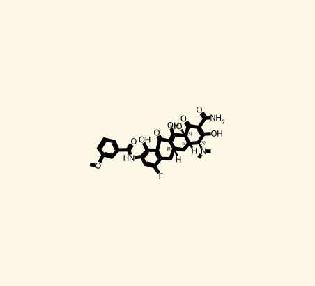 COc1cccc(C(=O)Nc2cc(F)c3c(c2O)C(=O)C2=C(O)[C@]4(O)C(=O)C(C(N)=O)=C(O)[C@@H](N(C)C)[C@@H]4C[C@@H]2C3)c1